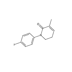 CC1=CCCN(c2ccc(I)cc2)C1=O